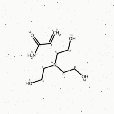 C=CC(N)=O.OCCN(CCO)CCO